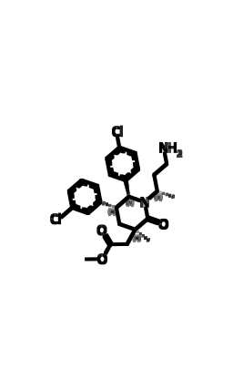 COC(=O)C[C@@]1(C)C[C@H](c2cccc(Cl)c2)[C@@H](c2ccc(Cl)cc2)N([C@@H](C)CCN)C1=O